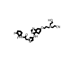 N#CCCN(CCO)CCCOc1ccc2c(Nc3cnn(CC(=O)Nc4cccc(F)c4F)c3)ncnc2c1